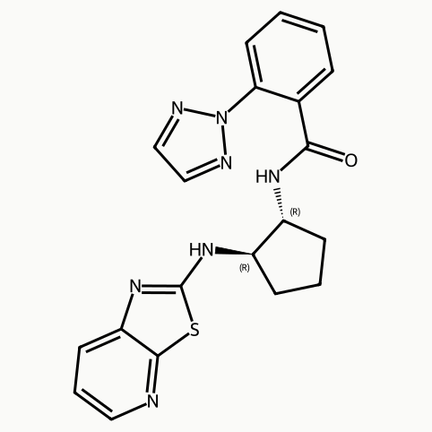 O=C(N[C@@H]1CCC[C@H]1Nc1nc2cccnc2s1)c1ccccc1-n1nccn1